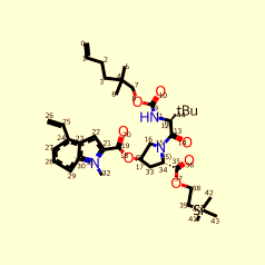 C=CCCC(C)(C)COC(=O)N[C@H](C(=O)N1C[C@H](OC(=O)c2cc3c(C=C)cccc3n2C)C[C@H]1C(=O)OCC[Si](C)(C)C)C(C)(C)C